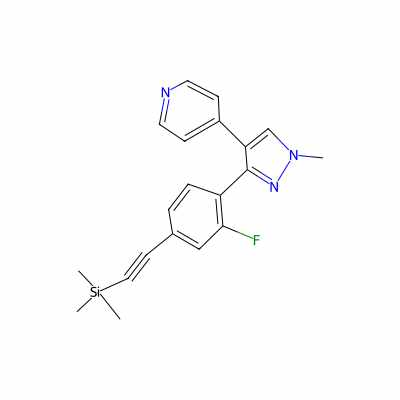 Cn1cc(-c2ccncc2)c(-c2ccc(C#C[Si](C)(C)C)cc2F)n1